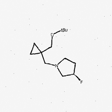 CC(C)(C)OCC1(CN2CC[C@@H](F)C2)CC1